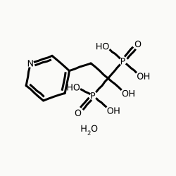 O.O=P(O)(O)C(O)(Cc1cccnc1)P(=O)(O)O